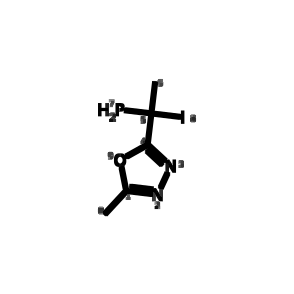 Cc1nnc(C(C)(P)I)o1